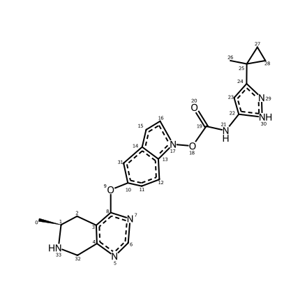 C[C@H]1Cc2c(ncnc2Oc2ccc3c(ccn3OC(=O)Nc3cc(C4(C)CC4)n[nH]3)c2)CN1